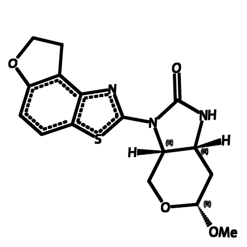 CO[C@H]1C[C@H]2NC(=O)N(c3nc4c5c(ccc4s3)OCC5)[C@H]2CO1